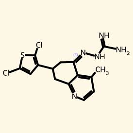 Cc1ccnc2c1/C(=N\NC(=N)N)CC(c1cc(Cl)sc1Cl)C2